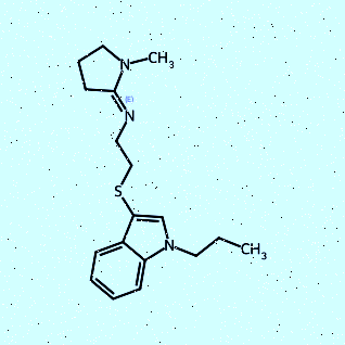 CCCn1cc(SCC/N=C2\CCCN2C)c2ccccc21